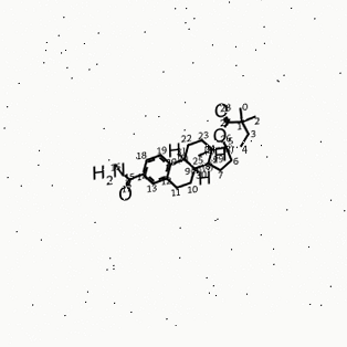 CC1(C)CC[C@@]2(CC[C@H]3[C@@H]4CCc5cc(C(N)=O)ccc5[C@H]4CC[C@@]32C)OC1=O